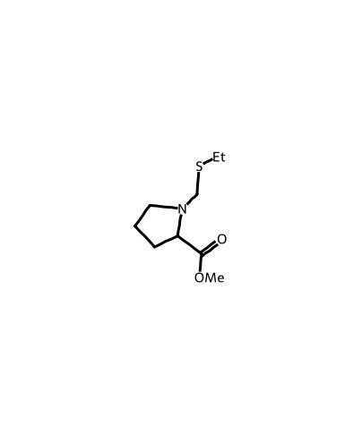 CCSCN1CCCC1C(=O)OC